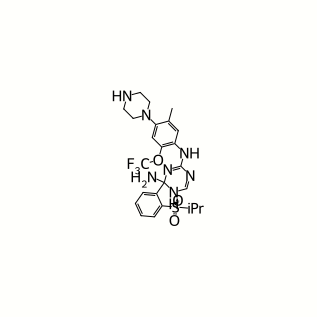 Cc1cc(NC2=NC(N)(c3ccccc3S(=O)(=O)C(C)C)NC=N2)c(OC(F)(F)F)cc1N1CCNCC1